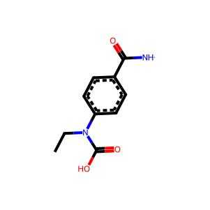 CCN(C(=O)O)c1ccc(C([NH])=O)cc1